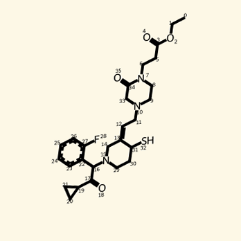 CCOC(=O)CCN1CCN(CC=C2CN(C(C(=O)C3CC3)c3ccccc3F)CCC2S)CC1=O